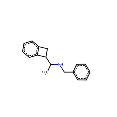 CC(NCc1ccccc1)C1Cc2ccccc21